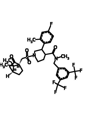 Cc1cc(F)ccc1C1CN(S(=O)(=O)C[C@@]23CC[C@@H](CC2=O)C3(C)C)CCC1C(=O)N(C)Cc1cc(C(F)(F)F)cc(C(F)(F)F)c1